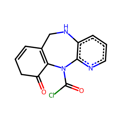 O=C1CC=CC2=C1N(C(=O)Cl)c1ncccc1NC2